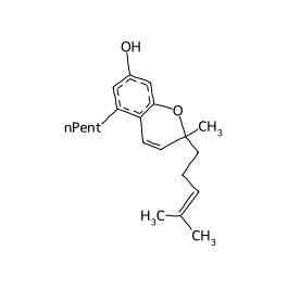 CCCCCc1cc(O)cc2c1C=CC(C)(CCC=C(C)C)O2